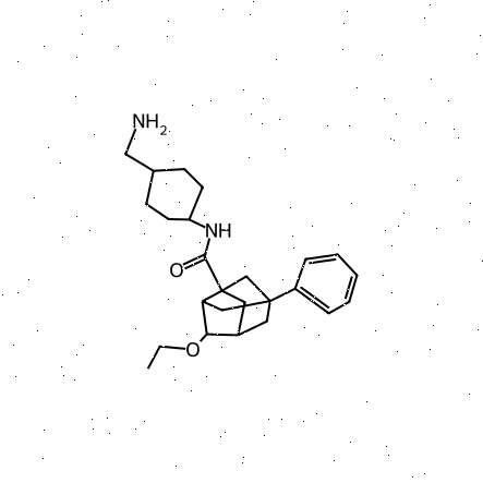 CCOC1C2CC3(c4ccccc4)CC1C(C(=O)NC1CCC(CN)CC1)(C2)C3